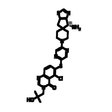 CC(C)(O)Cn1cnc2ccc(Sc3cnc(N4CCC5(CC4)Cc4scnc4[C@@H]5N)cn3)c(Cl)c2c1=O